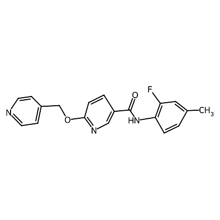 Cc1ccc(NC(=O)c2ccc(OCc3ccncc3)nc2)c(F)c1